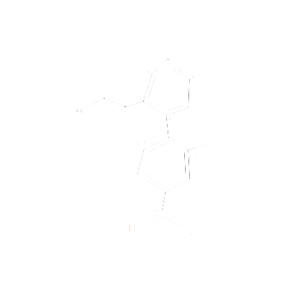 CCC(C)CCc1ccccc1-c1c(F)cc(B(O)O)cc1F